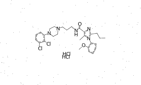 CCCc1nc(C(=O)NCCCN2CCN(c3cccc(Cl)c3Cl)CC2)c(C)n1-c1ccccc1OC.Cl.Cl